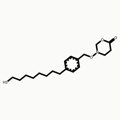 O=C1CCN(OCc2ccc(CCCCCCCCS)cc2)CO1